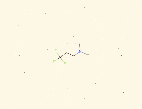 [CH2]N(C)CCC(F)(F)F